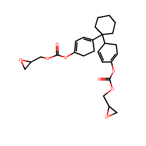 O=C(OCC1CO1)OC1=CCC(C2(C3=CC=C(OC(=O)OCC4CO4)CC3)CCCCC2)C=C1